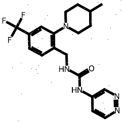 CC1CCN(c2cc(C(F)(F)F)ccc2CNC(=O)Nc2ccnnc2)CC1